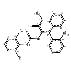 CCCCn1c(=O)c(NC(=O)Nc2c(C(C)C)cccc2C(C)C)c(-c2ccccc2N)c2cccnc21